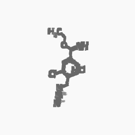 CCOC(=N)c1ccc(CN=[N+]=[N-])c(Cl)c1.Cl